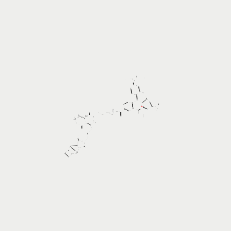 CN(C)c1ccc2c(-c3ccc(C(=O)NCCCCC(NC(CCCN4C(=O)C5C6C=CC(C7C=CC76)C5C4=O)=C4C(=O)CC(C)(C)CC4=O)C(=O)O)cc3C(=O)O)c3ccc(=[N+](C)C)cc-3oc2c1